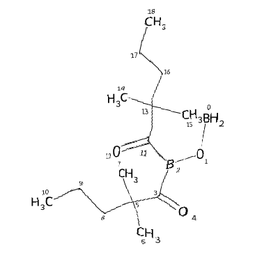 BOB(C(=O)C(C)(C)CCC)C(=O)C(C)(C)CCC